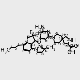 CCCCc1ccc(-n2ccc(C)n2)c(C(Oc2cc(N3CCC4(CC3)CNC(C(=O)O)C4)nc(N)n2)C(F)(F)F)c1